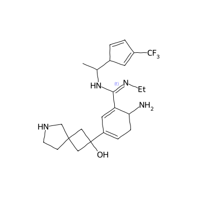 CC/N=C(/NC(C)C1C=CC(C(F)(F)F)=C1)C1=CC(C2(O)CC3(CCNC3)C2)=CCC1N